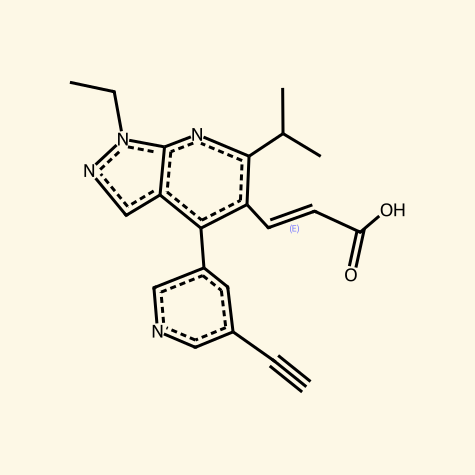 C#Cc1cncc(-c2c(/C=C/C(=O)O)c(C(C)C)nc3c2cnn3CC)c1